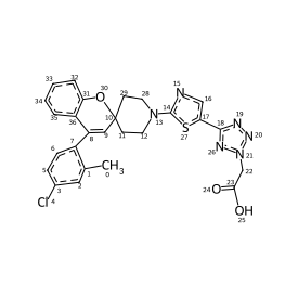 Cc1cc(Cl)ccc1C1=CC2(CCN(c3ncc(-c4nnn(CC(=O)O)n4)s3)CC2)Oc2ccccc21